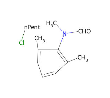 CCCCCCl.Cc1cccc(C)c1N(C)C=O